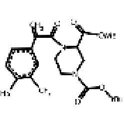 C=C(C(=O)N1CCN(C(=O)OC(C)(C)C)CC1C(=O)OC)c1ccc(S)c(C(F)(F)F)c1